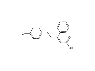 O=C(O)C=C(CSc1ccc(Cl)cc1)c1ccccc1